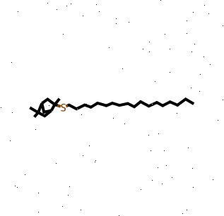 CCCCCCCCCCCCCCCCCCSC1(C)CC2CC1CC2(C)C